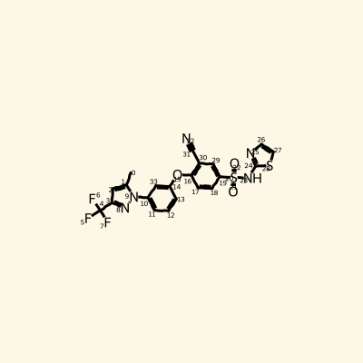 Cc1cc(C(F)(F)F)nn1-c1cccc(Oc2ccc(S(=O)(=O)Nc3nccs3)cc2C#N)c1